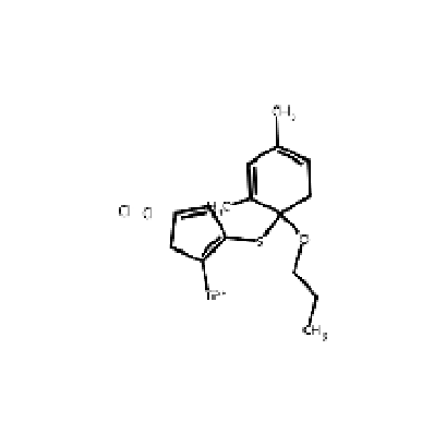 CCCOC1(SC2=[C]([Ti+2])CC=C2)CC=C(C)C=C1C.[Cl-].[Cl-]